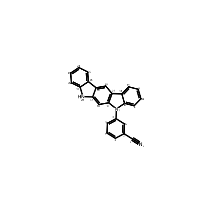 N#Cc1cccc(-n2c3ccccc3c3cc4c(cc32)[nH]c2ccccc24)c1